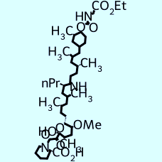 CCC[C@H](CC(C)C[C@H](C)CC[C@H]1O[C@@](O)(C(=O)C(=O)N2CCCC[C@H]2C(=O)O)[C@H](C)C[C@@H]1OC)C(=N)CC[C@@H](C)CC(C)CC1CC[C@@H](OC(=O)NCC(=O)OCC)[C@H](C)C1